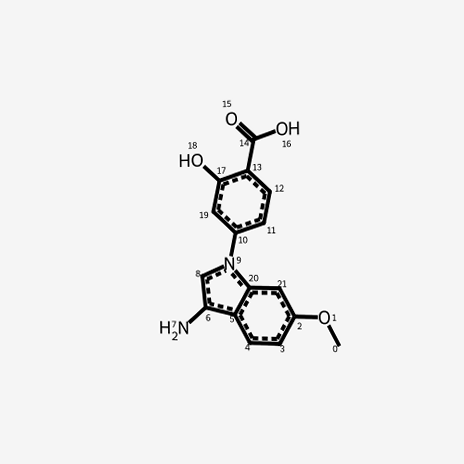 COc1ccc2c(N)cn(-c3ccc(C(=O)O)c(O)c3)c2c1